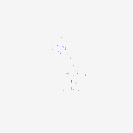 C=N/C(=N\C(=N/Cc1ccccc1)c1ccc2c(c1)Cc1ccc(N(C)c3ccccc3-c3ccc4c5ccccc5n(-c5ccccc5)c4c3)cc1-2)c1ccccc1